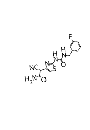 N#CC(C(N)=O)c1csc(NC(=O)NCc2cccc(F)c2)n1